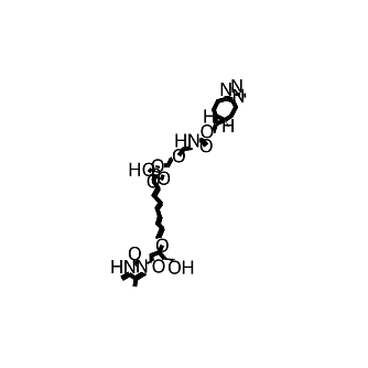 C=C1NC(=O)N([C@H]2CC(O/C=C/C=C/C=C/C=C/OP(=O)(O)OCCOCCNC(=O)OCC3[C@H]4CCc5nnn(C)c5CC[C@@H]34)[C@@H](CO)O2)C=C1C